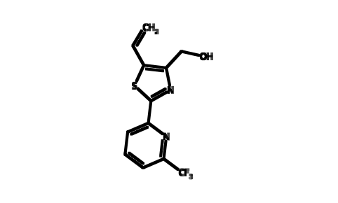 C=Cc1sc(-c2cccc(C(F)(F)F)n2)nc1CO